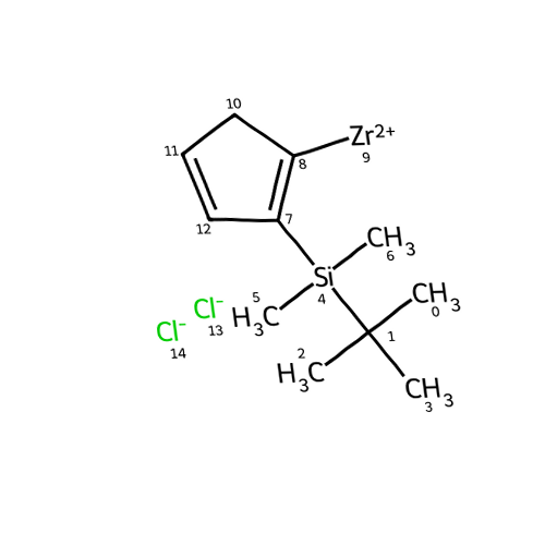 CC(C)(C)[Si](C)(C)C1=[C]([Zr+2])CC=C1.[Cl-].[Cl-]